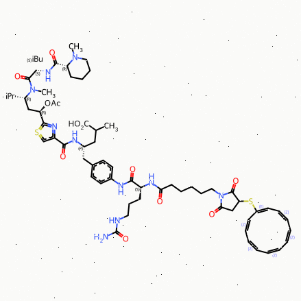 CC[C@H](C)[C@H](NC(=O)[C@H]1CCCCN1C)C(=O)N(C)[C@H](C[C@@H](OC(C)=O)c1nc(C(=O)N[C@@H](Cc2ccc(NC(=O)[C@H](CCCNC(N)=O)NC(=O)CCCCCN3C(=O)CC(SC4=C/C=C\C=C/C=C\C=C/C=C\4)C3=O)cc2)CC(C)C(=O)O)cs1)C(C)C